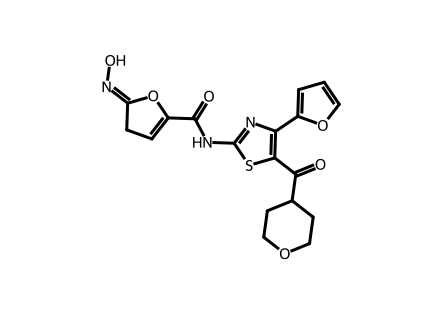 O=C(Nc1nc(-c2ccco2)c(C(=O)C2CCOCC2)s1)C1=CCC(=NO)O1